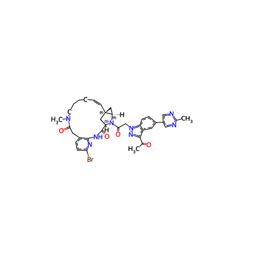 CC(=O)c1nn(CC(=O)N2[C@H]3C[C@@]4(C=CCCCCN(C)C(=O)Cc5ccc(Br)nc5NC3=O)C[C@@H]24)c2ccc(-c3cnc(C)nc3)cc12